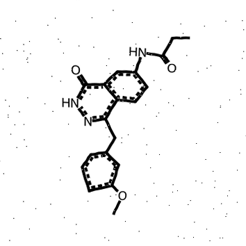 CCC(=O)Nc1ccc2c(Cc3cccc(OC)c3)n[nH]c(=O)c2c1